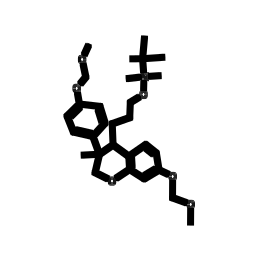 COCOc1ccc(C2(C)COc3cc(OCOC)ccc3C2CCCO[Si](C)(C)C(C)(C)C)cc1